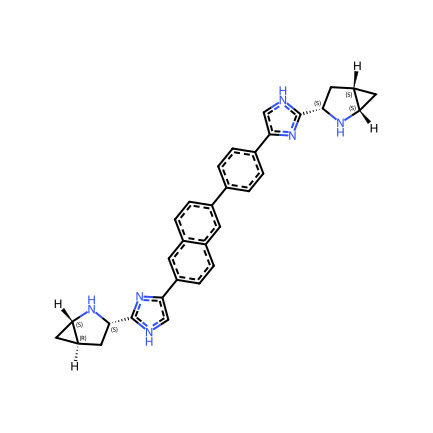 c1cc(-c2c[nH]c([C@@H]3C[C@@H]4C[C@@H]4N3)n2)ccc1-c1ccc2cc(-c3c[nH]c([C@@H]4C[C@H]5C[C@@H]5N4)n3)ccc2c1